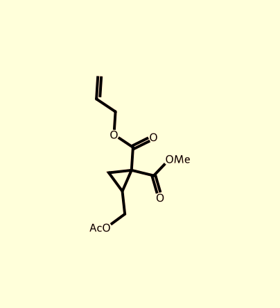 C=CCOC(=O)C1(C(=O)OC)CC1COC(C)=O